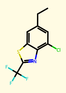 CCc1cc(Cl)c2nc(C(F)(F)F)sc2c1